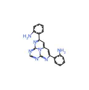 Nc1ccccc1C1=CC2=CC(c3ccccc3N)=NC3=NC=NC(=N1)N23